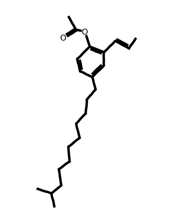 CC=Cc1cc(CCCCCCCCCC(C)C)ccc1OC(C)=O